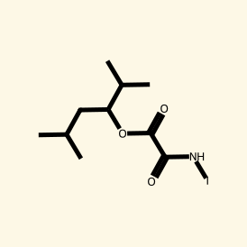 CC(C)CC(OC(=O)C(=O)NI)C(C)C